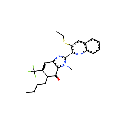 CCCCC1C(=O)c2c(nc(-c3nc4ccccc4cc3SCC)n2C)C=C1C(F)(F)F